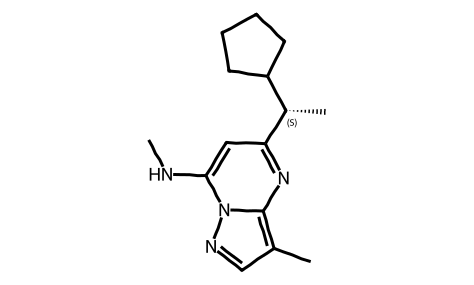 CNc1cc([C@@H](C)C2CCCC2)nc2c(C)cnn12